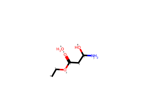 CCOC(=O)CC(N)O.O